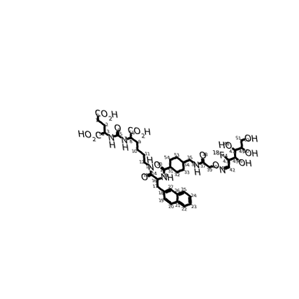 O=C(O)CCC(NC(=O)NC(CCCCNC(=O)C(Cc1ccc2ccccc2c1)NC(=O)C1CCC(CNC(=O)CO/N=C\C([18F])C(O)C(O)C(O)CO)CC1)C(=O)O)C(=O)O